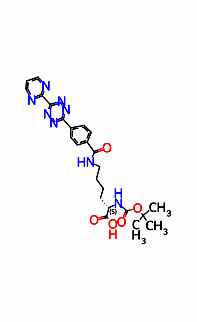 CC(C)(C)OC(=O)N[C@@H](CCCCNC(=O)c1ccc(-c2nnc(-c3ncccn3)nn2)cc1)C(=O)O